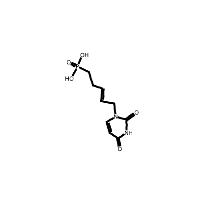 O=c1ccn(CC=CCCP(=O)(O)O)c(=O)[nH]1